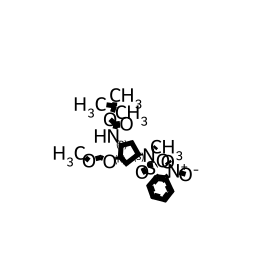 COCO[C@@H]1C[C@@H](N(C)S(=O)(=O)c2ccccc2[N+](=O)[O-])C[C@H]1NC(=O)OC(C)(C)C